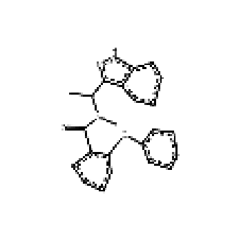 CC(c1n[nH]c2ccccc12)N(C)C(=O)c1ccccc1Oc1ccccc1